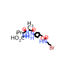 CC(NC(=O)C(NC(=O)O)C(C)C)C(=O)Nc1ccc(COC(=O)NCCCBr)cc1